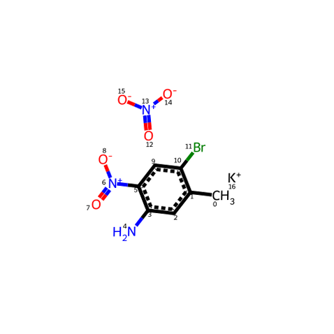 Cc1cc(N)c([N+](=O)[O-])cc1Br.O=[N+]([O-])[O-].[K+]